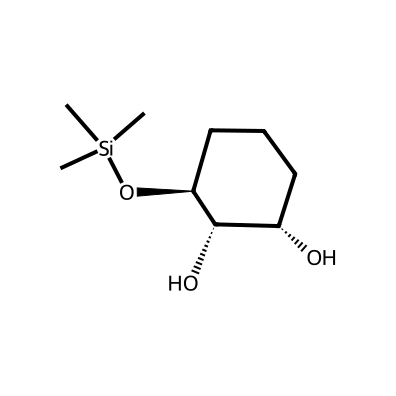 C[Si](C)(C)O[C@H]1CCC[C@H](O)[C@@H]1O